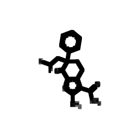 NC(=O)c1c(N)sc2c1CCC(CC(F)F)(c1ccccc1)C2=O